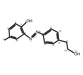 Cc1ccc(O)c(/N=N/c2ccc(CCO)cc2)c1